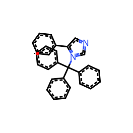 [c]1cccc(-c2cncn2C(c2ccccc2)(c2ccccc2)c2ccccc2)c1